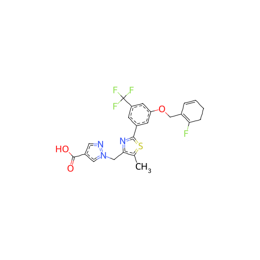 Cc1sc(-c2cc(OCC3=C(F)CCC=C3)cc(C(F)(F)F)c2)nc1Cn1cc(C(=O)O)cn1